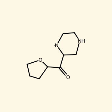 O=C(C1CNCC[N]1)C1CCCO1